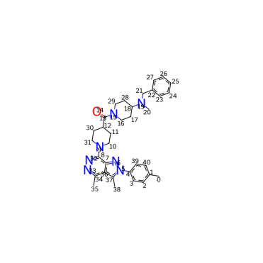 Cc1ccc(-n2nc3c(N4CCC(C(=O)N5CCC(N(C)Cc6ccccc6)CC5)CC4)nnc(C)c3c2C)cc1